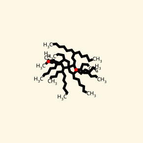 CCCCCCC(CCCCC)CC[C](CC(CCC)CCCCC)C(CC(CCC)CCCCC)(CC(CCCCCC)CCCCCC)C(CC(CCC)CCCCC)C(CCCC)CCCCCC